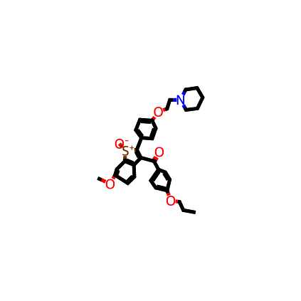 CCCOc1ccc(C(=O)c2c(-c3ccc(OCCN4CCCCC4)cc3)[s+]([O-])c3cc(OC)ccc23)cc1